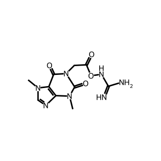 Cn1cnc2c1c(=O)n(CC(=O)ONC(=N)N)c(=O)n2C